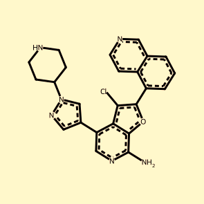 Nc1ncc(-c2cnn(C3CCNCC3)c2)c2c(Cl)c(-c3cccc4cnccc34)oc12